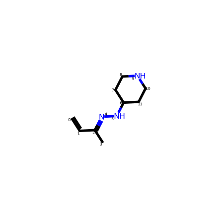 C=C/C(C)=N/NC1CCNCC1